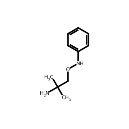 CC(C)(N)CONc1ccccc1